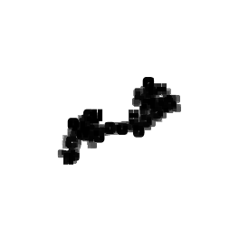 Cc1ncsc1-c1ccc(CNC(=O)[C@@H]2C[C@@H](O)CN2C(=O)[C@@H](NC(=O)CCOCCOCCNC(=O)c2ccc(-c3ccc(N4C[C@@H](C)N(C)[C@@H](C)C4)c(NC(=O)c4c[nH]c(=O)cc4C(F)(F)F)c3)c(F)c2)C(C)(C)C)cc1